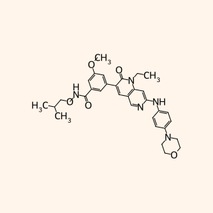 CCn1c(=O)c(-c2cc(OC)cc(C(=O)NOCC(C)C)c2)cc2cnc(Nc3ccc(N4CCOCC4)cc3)cc21